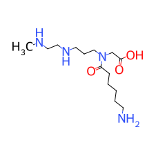 CNCCNCCCN(CC(=O)O)C(=O)CCCCCN